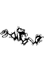 COC(=O)C1CCC(c2nc(-c3cccc(OCc4ccccc4)c3)c3c(Cl)nccn23)CC1